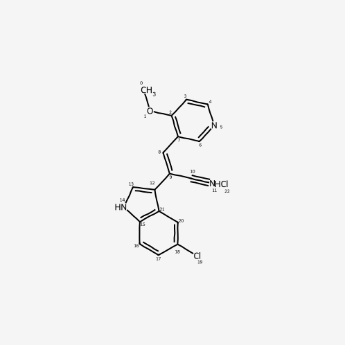 COc1ccncc1/C=C(\C#N)c1c[nH]c2ccc(Cl)cc12.Cl